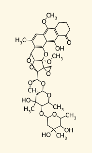 COc1c2c(c(O)c3c4c(c(C)cc13)C1OC3([C@H](OC)OC5CC(C)(O)C(OC6CC(C)(O)C(O)C(C)O6)C(C)O5)OC1[C@@](OC)(O4)[C@@]31CO1)C(=O)CCC2